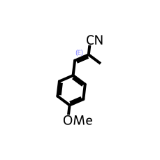 COc1ccc(/C=C(\C)C#N)cc1